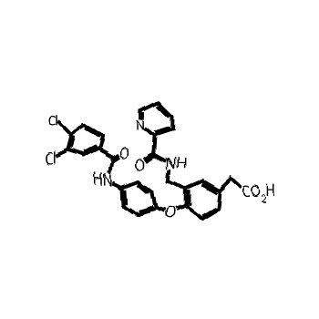 O=C(O)Cc1ccc(Oc2ccc(NC(=O)c3ccc(Cl)c(Cl)c3)cc2)c(CNC(=O)c2ccccn2)c1